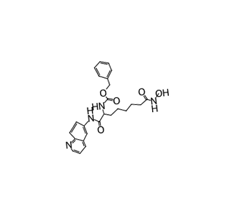 O=C(CCCCCC(NC(=O)OCc1ccccc1)C(=O)Nc1ccc2ncccc2c1)NO